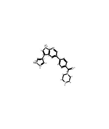 O=C(c1ccc(-c2cnc3[nH]cc(-c4cn[nH]c4)c3c2)cc1)N1CCOCC1